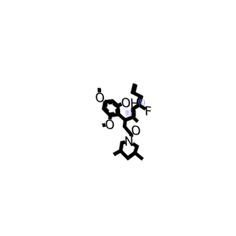 C=C/C=C(F)\C=C(/C)C(CC(=O)N1CC(C)CC(C)C1)c1c(O)cc(OC)cc1OC